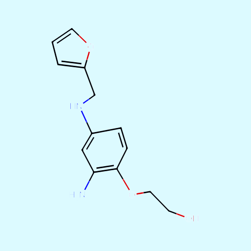 Nc1cc(NCc2ccco2)ccc1OCCO